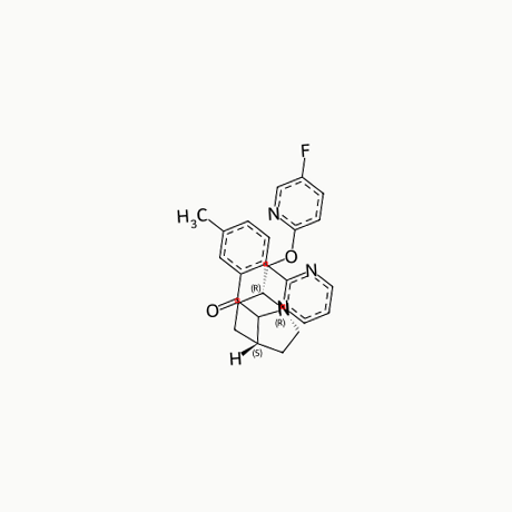 Cc1ccc(-c2ncccn2)c(C(=O)C2[C@H]3CC[C@H](COc4ccc(F)cn4)[N@]2CC3)c1